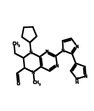 CCC1C(C=O)N(C)c2cnc(-n3ccnc3-c3cn[nH]c3)nc2N1C1CCCC1